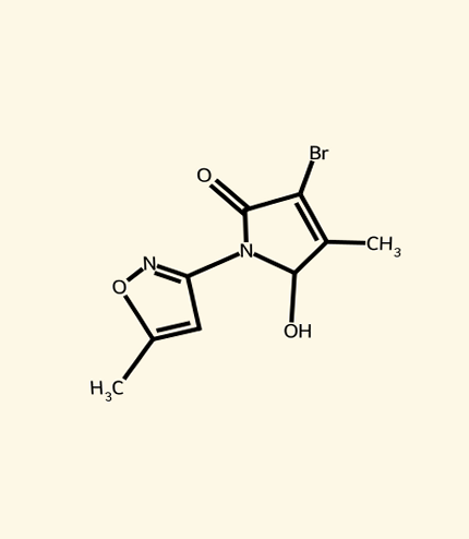 CC1=C(Br)C(=O)N(c2cc(C)on2)C1O